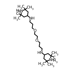 CC1(C)CC(NCCCOCCOCCCNC2CC(C)(C)NC(C)(C)C2)CC(C)(C)N1